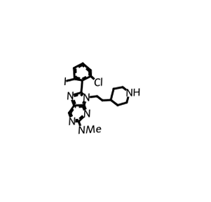 CNc1ncc2nc(-c3c(Cl)cccc3I)n(CCC3CCNCC3)c2n1